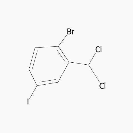 ClC(Cl)c1cc(I)ccc1Br